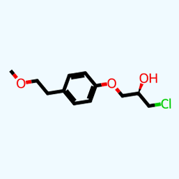 COCCc1ccc(OC[C@@H](O)CCl)cc1